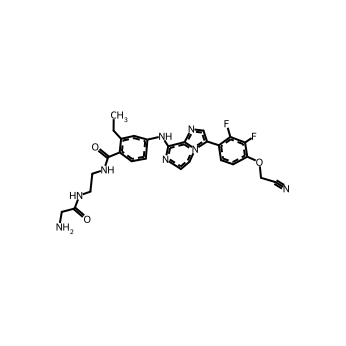 CCc1cc(Nc2nccn3c(-c4ccc(OCC#N)c(F)c4F)cnc23)ccc1C(=O)NCCNC(=O)CN